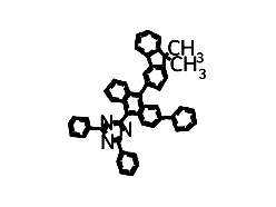 CC1(C)c2ccccc2-c2cc(-c3c4ccccc4c(-c4nc(-c5ccccc5)nc(-c5ccccc5)n4)c4ccc(-c5ccccc5)cc34)ccc21